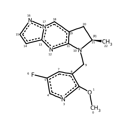 COc1ncc(F)cc1CN1c2nc3ccnn3cc2C[C@H]1C